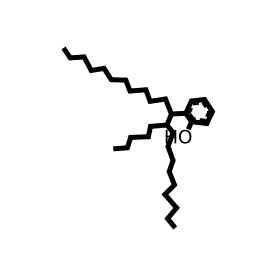 CCCCCCCCCCCC(c1ccccc1O)C(CCCCC)CCCCCCCCC